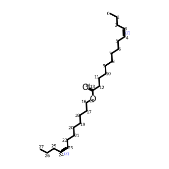 CCC/C=C\CCCCCCCCC(=O)OCCCCCCC/C=C\CCC